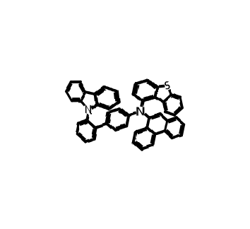 c1ccc(-n2c3ccccc3c3ccccc32)c(-c2ccc(N(c3cc4ccccc4c4ccccc34)c3cccc4sc5ccccc5c34)cc2)c1